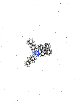 c1ccc(-c2ccc(-c3nc(-c4ccc5c(c4)sc4ccccc45)nc(-c4cccc5c4-c4ccccc4C5(c4ccccc4)c4ccccc4)n3)cc2)cc1